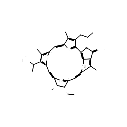 CCCC1=C(C)c2cc3[nH]c(cc4nc(cc5[nH]c6c(c1n2)CC(=O)c6c5C)[C@H](CC)[C@H]4C)c(C(C)O)c3C